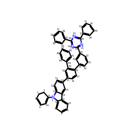 C1=CCCC(n2c3ccccc3c3cc(-c4ccc(-c5cccc(-c6nc(-c7ccccc7)nc(-c7ccccc7)n6)c5)c(-c5ccccc5)c4)ccc32)=C1